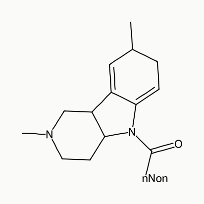 CCCCCCCCCC(=O)N1C2=CCC(C)C=C2C2CN(C)CCC21